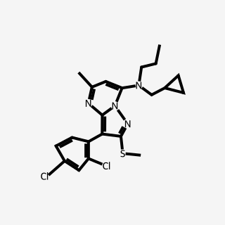 CCCN(CC1CC1)c1cc(C)nc2c(-c3ccc(Cl)cc3Cl)c(SC)nn12